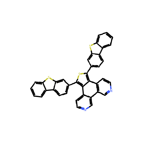 c1ccc2c(c1)sc1cc(-c3sc(-c4ccc5c(c4)sc4ccccc45)c4c5ccncc5c5cnccc5c34)ccc12